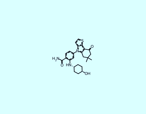 CC1(C)CC(=O)c2c(n(-c3ccc(C(N)=O)c(N[C@H]4CC[C@H](O)CC4)c3)c3ccsc23)C1